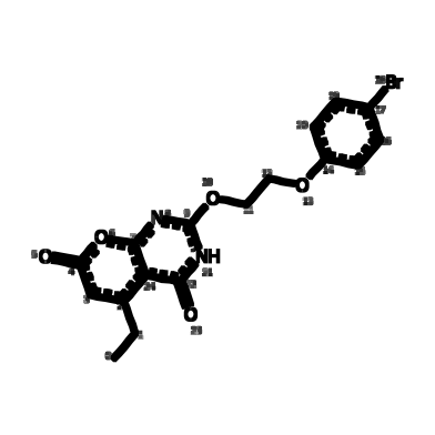 CCc1cc(=O)oc2nc(OCCOc3ccc(Br)cc3)[nH]c(=O)c12